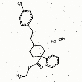 CCOC(=O)C1(c2ccccc2)CCN(CCc2ccc(N)cc2)CC1.Cl.Cl